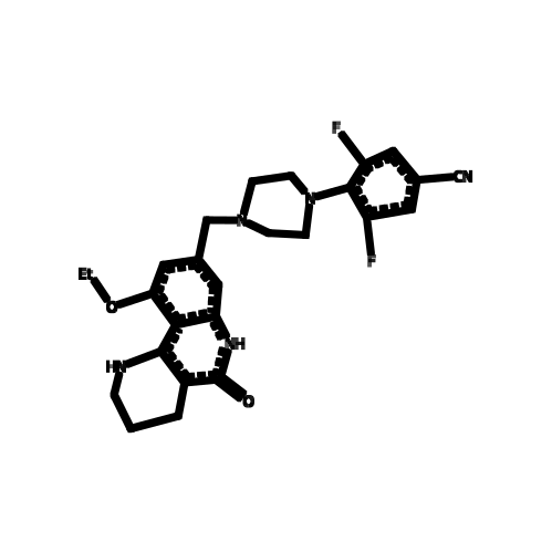 CCOc1cc(CN2CCN(c3c(F)cc(C#N)cc3F)CC2)cc2[nH]c(=O)c3c(c12)NCCC3